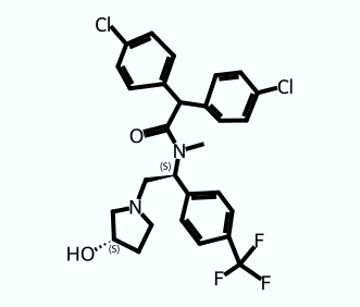 CN(C(=O)C(c1ccc(Cl)cc1)c1ccc(Cl)cc1)[C@H](CN1CC[C@H](O)C1)c1ccc(C(F)(F)F)cc1